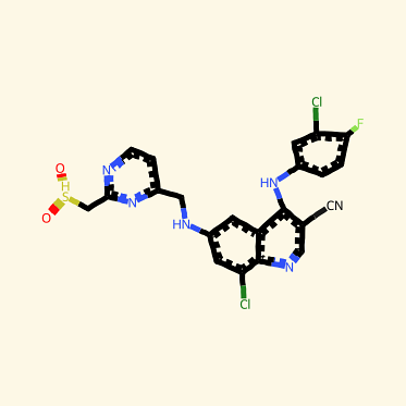 N#Cc1cnc2c(Cl)cc(NCc3ccnc(C[SH](=O)=O)n3)cc2c1Nc1ccc(F)c(Cl)c1